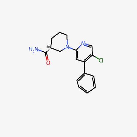 NC(=O)[C@@H]1CCCN(c2cc(-c3ccccc3)c(Cl)cn2)C1